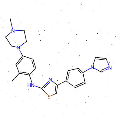 Cc1cc(N2CCN(C)CC2)ccc1Nc1nc(-c2ccc(-n3ccnc3)cc2)cs1